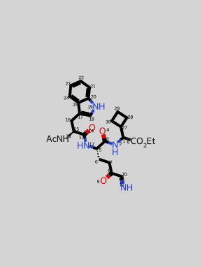 CCOC(=O)C(NC(=O)[C@H](CCC(=O)C=N)NC(=O)[C@H](Cc1c[nH]c2ccccc12)NC(C)=O)C1CCC1